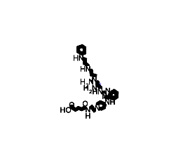 N/C(=C\N(N)CCCNCCCNC1CCCCC1)CNc1nc(NC2CCN(CCNC(=O)CCCC(=O)O)CC2)c2ccccc2n1